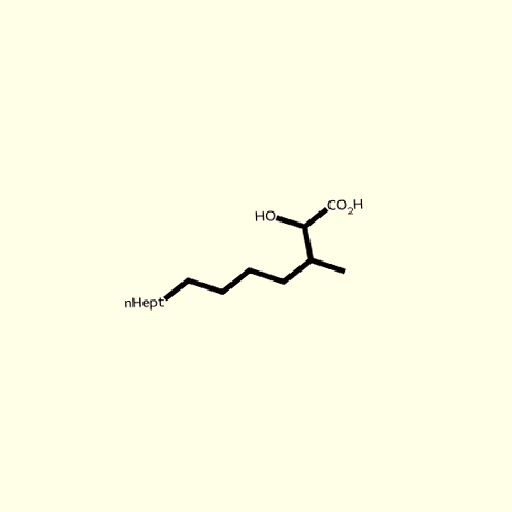 CCCCCCCCCCCC(C)C(O)C(=O)O